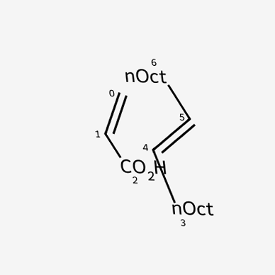 C=CC(=O)O.CCCCCCCCC=CCCCCCCCC